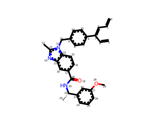 C=C/C=C(\C=C)c1ccc(Cn2c(C)nc3cc(C(=O)N[C@@H](C)c4cccc(OC)c4)ccc32)cc1